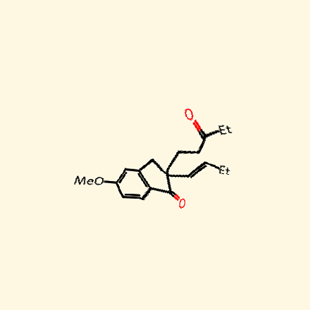 CC/C=C/C1(CCC(=O)CC)Cc2cc(OC)ccc2C1=O